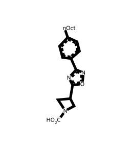 CCCCCCCCc1ccc(-c2noc(C3CN(C(=O)O)C3)n2)cc1